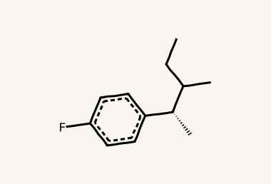 CCC(C)[C@H](C)c1ccc(F)cc1